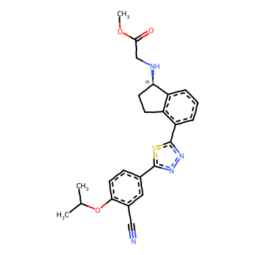 COC(=O)CN[C@@H]1CCc2c(-c3nnc(-c4ccc(OC(C)C)c(C#N)c4)s3)cccc21